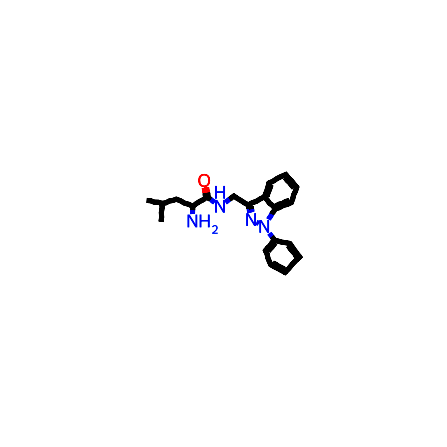 CC(C)CC(N)C(=O)NCc1nn(-c2ccccc2)c2ccccc12